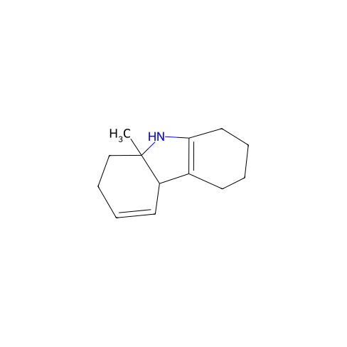 CC12CCC=CC1C1=C(CCCC1)N2